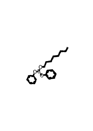 CCCCCCCCOB(Oc1ccccc1)Oc1ccccc1